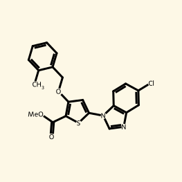 COC(=O)c1sc(-n2cnc3cc(Cl)ccc32)cc1OCc1ccccc1C